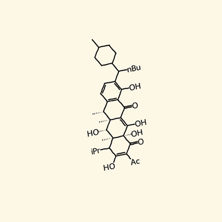 CCCCC(c1ccc2c(c1O)C(=O)C1=C(O)[C@@]3(O)C(=O)C(C(C)=O)=C(O)C(C(C)C)[C@@]3(C)[C@H](O)[C@@]1(C)[C@@H]2C)C1CCC(C)CC1